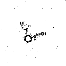 F.F.F.F.F.FC(F)F.Sc1ccccc1